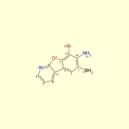 Bc1cc2c(oc3ncccc32)c(Br)c1N